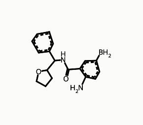 Bc1ccc(N)c(C(=O)NC(c2ccccc2)C2CCCO2)c1